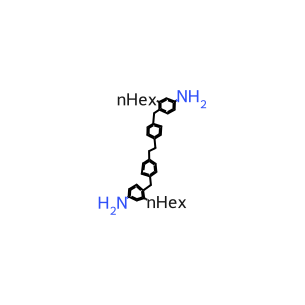 CCCCCCc1cc(N)ccc1Cc1ccc(CCc2ccc(Cc3ccc(N)cc3CCCCCC)cc2)cc1